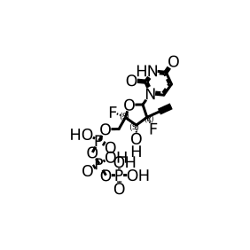 C#C[C@]1(F)C(n2ccc(=O)[nH]c2=O)O[C@](F)(COP(=O)(O)OP(=O)(O)OP(=O)(O)O)[C@H]1O